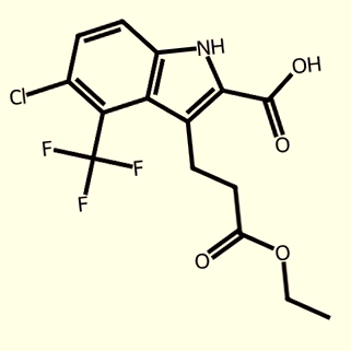 CCOC(=O)CCc1c(C(=O)O)[nH]c2ccc(Cl)c(C(F)(F)F)c12